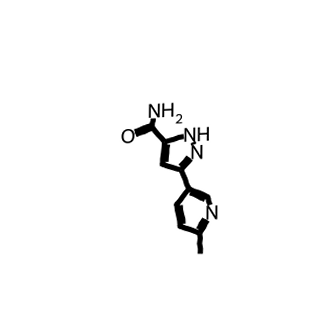 Cc1ccc(-c2cc(C(N)=O)[nH]n2)cn1